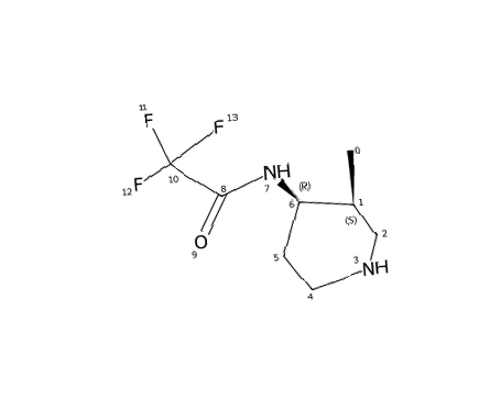 C[C@H]1CNCC[C@H]1NC(=O)C(F)(F)F